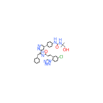 CC(C)(CO)NC(=O)Nc1ccc(-c2cnnc([C@H](Cc3ccccc3)NC(=O)C=Cc3cc(Cl)ccc3-n3cnnn3)c2)cc1